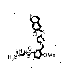 COc1ccc(S(=O)(=O)/N=C/N(C)C)cc1CN1CC[C@H](Sc2cc3ccncc3cc2Cl)C1